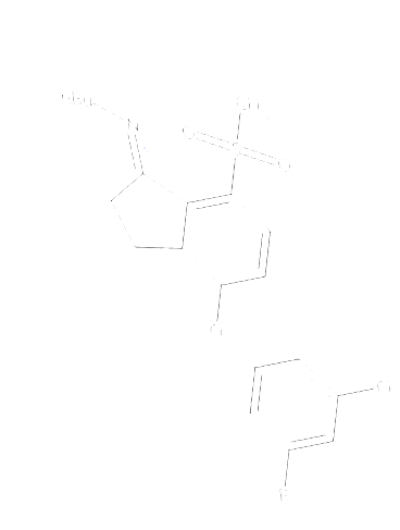 CCCC/N=C1\CCc2c(Oc3cc(F)cc(Cl)c3)ccc(S(C)(=O)=O)c21